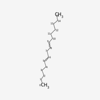 CCCCCC=CCC=CCCCCCC